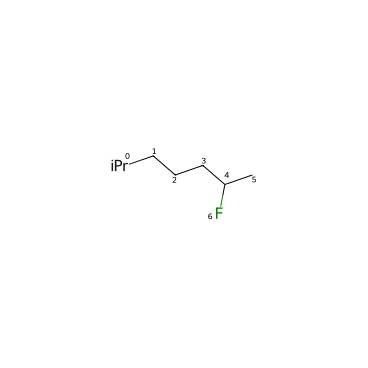 CC(C)CCCC(C)F